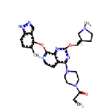 C=CC(=O)N1CCN(c2nc(O/C=C3/CCN(C)C3)nc3c(Oc4c(C)ccc5[nH]ncc45)nccc23)CC1